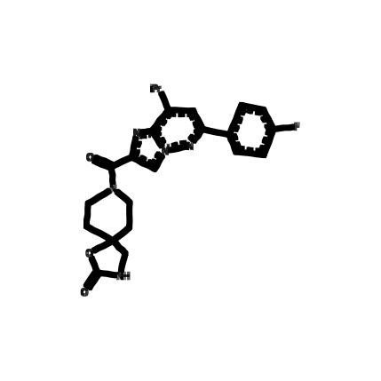 CC(C)c1cc(-c2ccc(F)cc2)nn2cc(C(=O)N3CCC4(CC3)CNC(=O)O4)nc12